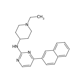 CCN1CCC(Nc2nccc(-c3ccc4ccccc4c3)n2)CC1